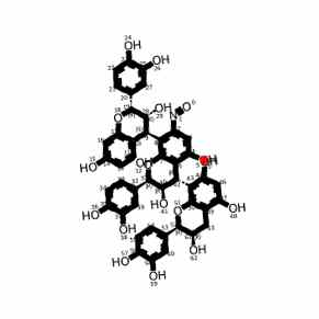 O=Nc1cc(O)c2c(c1[C@H]1c3c(O)cc(O)cc3O[C@H](c3ccc(O)c(O)c3)[C@@H]1O)O[C@H](c1ccc(O)c(O)c1)[C@H](O)[C@H]2c1c(O)cc(O)c2c1O[C@H](c1ccc(O)c(O)c1)[C@H](O)C2